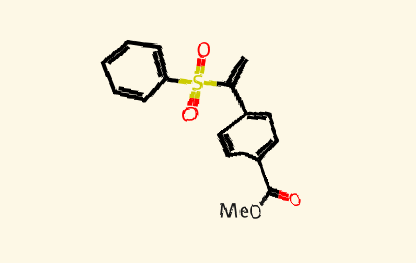 C=C(c1ccc(C(=O)OC)cc1)S(=O)(=O)c1ccccc1